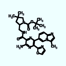 Cc1cnc2ccc(-c3nc(C(=O)NCC4CC(C)(C)CN4C(=O)OC(C)(C)C)c(N)nc3-c3ncco3)cn12